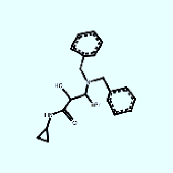 CCCC(C(O)C(=O)NC1CC1)N(Cc1ccccc1)Cc1ccccc1